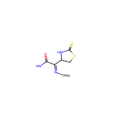 CO/N=C(/C([NH])=O)C1CSC(=S)N1